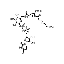 COCCOCCC(=O)NC(CCC(=O)NCC1OC(OP(=O)(O)OP(=O)(O)OC[C@H]2O[C@@H](n3ccc(=O)[nH]c3=O)C(O)[C@H]2O)C(O)[C@@H](O)[C@H]1O)C(=O)O